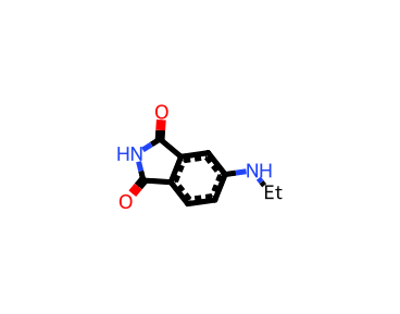 CCNc1ccc2c(c1)C(=O)NC2=O